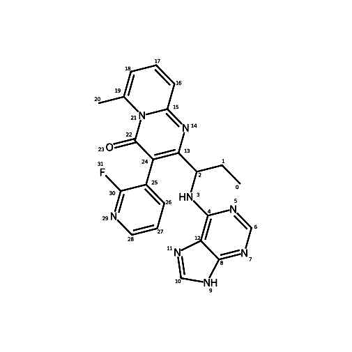 CCC(Nc1ncnc2[nH]cnc12)c1nc2cccc(C)n2c(=O)c1-c1cccnc1F